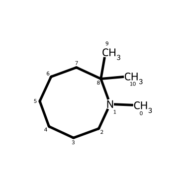 CN1CCCCCCC1(C)C